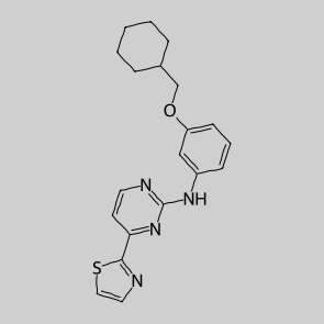 c1cc(Nc2nccc(-c3nccs3)n2)cc(OCC2CCCCC2)c1